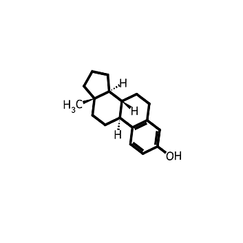 C[C@@]12CCC[C@H]1[C@@H]1CCc3cc(O)ccc3[C@H]1CC2